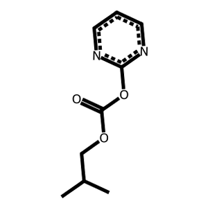 CC(C)COC(=O)Oc1ncccn1